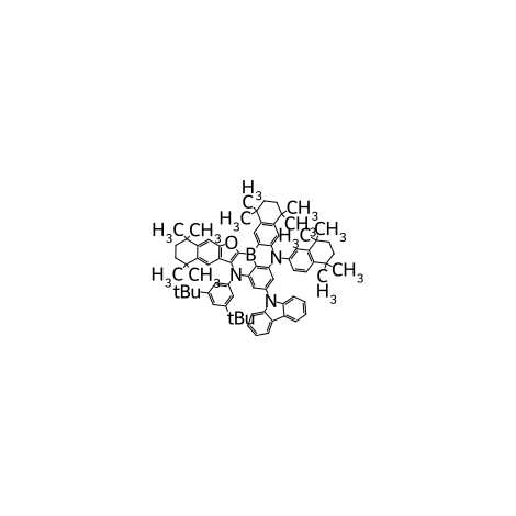 CC(C)(C)c1cc(N2c3cc(-n4c5ccccc5c5ccccc54)cc4c3B(c3cc5c(cc3N4c3ccc4c(c3)C(C)(C)CCC4(C)C)C(C)(C)CCC5(C)C)c3oc4cc5c(cc4c32)C(C)(C)CCC5(C)C)cc(C(C)(C)C)c1